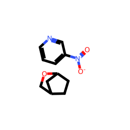 C1CC2CC1CO2.O=[N+]([O-])c1cccnc1